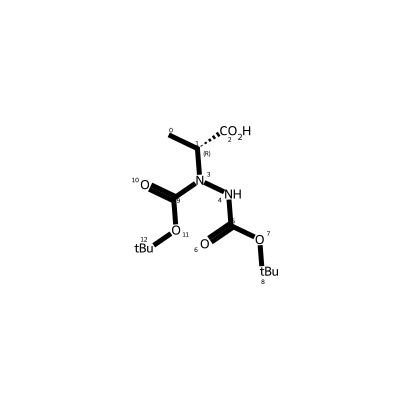 C[C@H](C(=O)O)N(NC(=O)OC(C)(C)C)C(=O)OC(C)(C)C